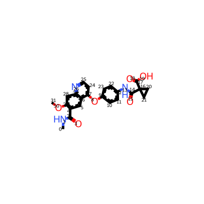 CNC(=O)c1cc2c(Oc3ccc(NC(=O)C4(C(=O)O)CC4)cc3)ccnc2cc1OC